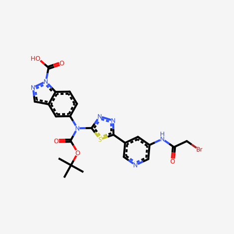 CC(C)(C)OC(=O)N(c1ccc2c(cnn2C(=O)O)c1)c1nnc(-c2cncc(NC(=O)CBr)c2)s1